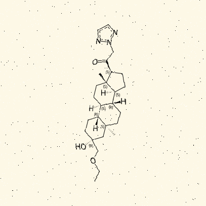 CCOC[C@@]1(O)CC[C@@H]2[C@H]3CC[C@]4(C)[C@@H](C(=O)Cn5nccn5)CC[C@H]4[C@@H]3CC[C@@]2(C)C1